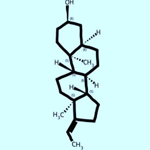 CC=C1CC[C@H]2[C@@H]3CC[C@@H]4C[C@H](O)CC[C@]4(C)[C@H]3CC[C@]12C